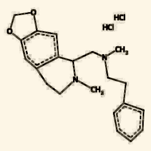 CN(CCc1ccccc1)CC1c2cc3c(cc2CCN1C)OCO3.Cl.Cl